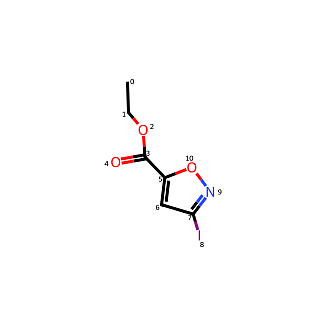 CCOC(=O)c1cc(I)no1